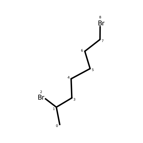 CC(Br)CCCCCBr